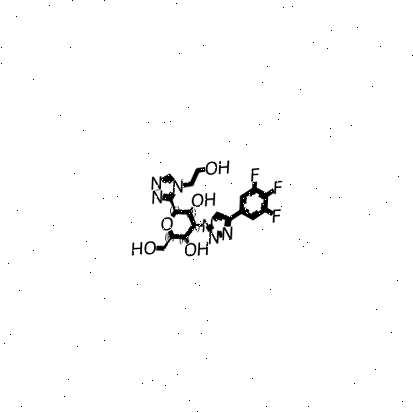 OCCn1cnnc1[C@@H]1O[C@H](CO)[C@H](O)[C@H](n2cc(-c3cc(F)c(F)c(F)c3)nn2)[C@H]1O